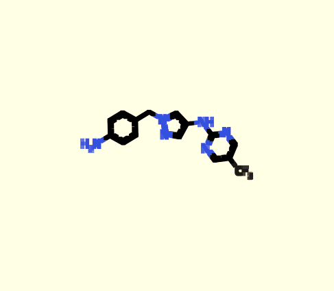 Nc1ccc(Cn2cc(Nc3ncc(C(F)(F)F)cn3)cn2)cc1